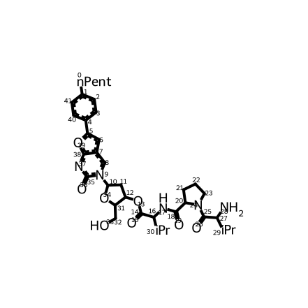 CCCCCc1ccc(-c2cc3cn(C4CC(OC(=O)C(NC(=O)C5CCCN5C(=O)C(N)C(C)C)C(C)C)C(CO)O4)c(=O)nc3o2)cc1